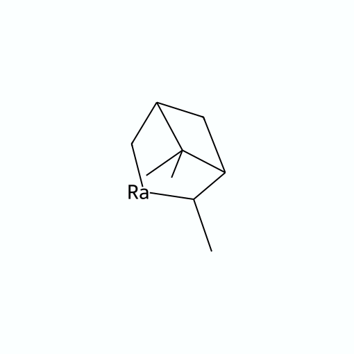 C[CH]1[Ra][CH2]C2CC1C2(C)C